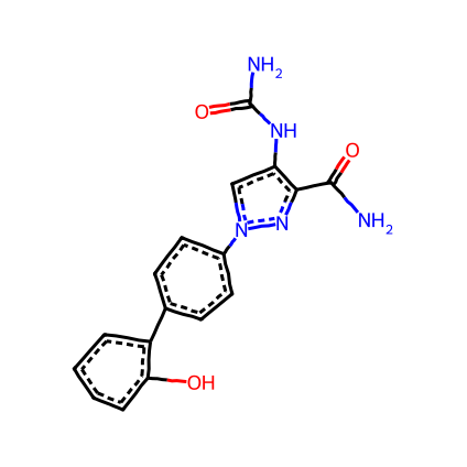 NC(=O)Nc1cn(-c2ccc(-c3ccccc3O)cc2)nc1C(N)=O